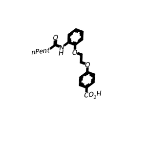 CCCCCC(=O)Nc1ccccc1OCCOc1ccc(C(=O)O)cc1